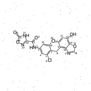 O=C(Nc1cc(Cl)c(Cc2ccc(O)c3ocnc23)c(Cl)c1)c1noc(=O)[nH]1